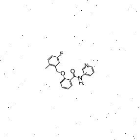 Cc1ccc(F)cc1COc1ccccc1C(=O)Nc1cccnc1